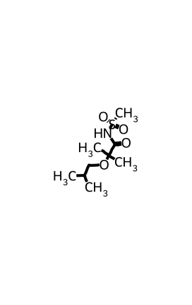 CC(C)COC(C)(C)C(=O)NS(C)(=O)=O